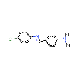 CCN(CC)c1ccc(/C=N/c2ccc(Cl)cc2)cc1